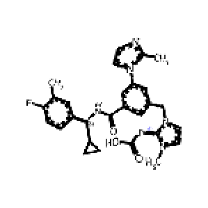 Cc1cc([C@@H](NC(=O)c2cc(Cn3ccn(C)/c3=N\C(=O)O)cc(-n3ccnc3C)c2)C2CC2)ccc1F